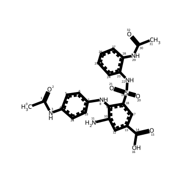 CC(=O)Nc1ccc(Nc2c(N)cc(C(=O)O)cc2S(=O)(=O)Nc2ccccc2NC(C)=O)cc1